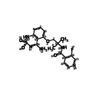 CC(C)(COc1cccc2c1C(N)=NS(=O)(=O)N2)NC(=O)c1ccncc1F